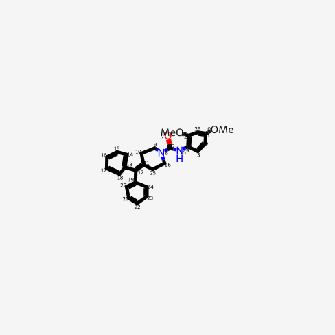 COc1ccc(NC(=O)N2CCC(=C(c3ccccc3)c3ccccc3)CC2)c(OC)c1